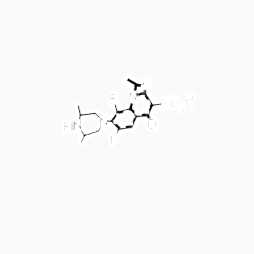 C=c1sc2c(C(=O)O)c(=O)c3cc(F)c(N4CC(C)NC(C)C4)c(F)c3n12